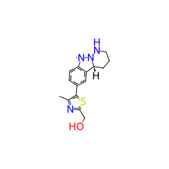 Cc1nc(CO)sc1-c1ccc2c(c1)[C@H]1CCCNN1[N]2